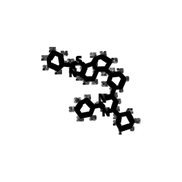 c1ccc(-c2cc(-c3cccc(-c4cccc5c4ccc4nc(-c6ccccc6)sc45)c3)nc(-c3ccccc3)n2)cc1